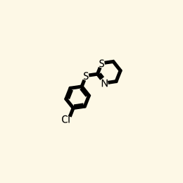 Clc1ccc(SC2=NCCCS2)cc1